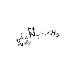 CCCCNc1conn1